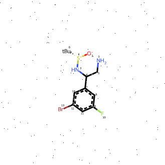 CC(C)(C)[S@+]([O-])NC(CN)c1cc(F)cc(Br)c1